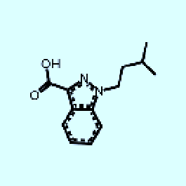 CC(C)CCn1nc(C(=O)O)c2ccccc21